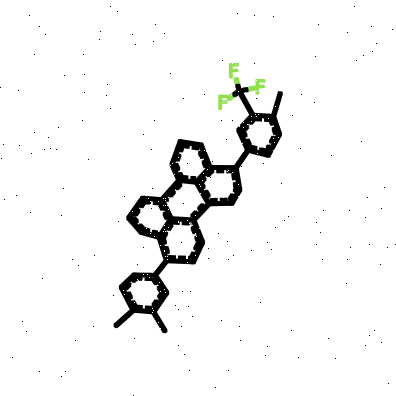 Cc1ccc(-c2ccc3c4ccc(-c5ccc(C)c(C(F)(F)F)c5)c5cccc(c6cccc2c63)c54)cc1C